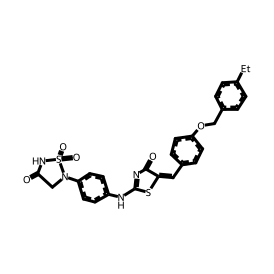 CCc1ccc(COc2ccc(C=C3SC(Nc4ccc(N5CC(=O)NS5(=O)=O)cc4)=NC3=O)cc2)cc1